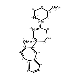 COC1=C=Cc2ccccc2C=C1C1=CN=C([C@@H]2CC(OC)CCN2)CCC1